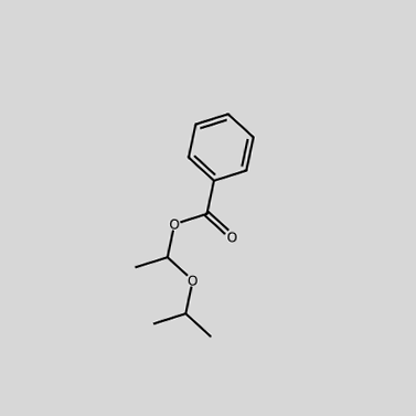 CC(C)OC(C)OC(=O)c1ccccc1